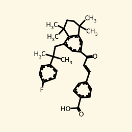 CC(C)(Cc1cc(C(=O)C=Cc2ccc(C(=O)O)cc2)cc2c1C(C)(C)CCC2(C)C)c1ccc(F)cc1